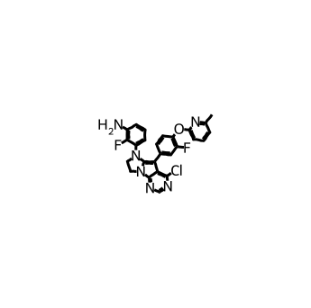 Cc1cccc(Oc2ccc(-c3c4n(c5ncnc(Cl)c35)CCN4c3cccc(N)c3F)cc2F)n1